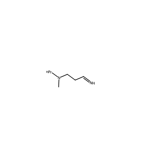 CCCN(C)CCC=N